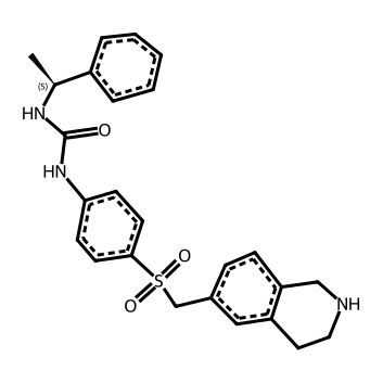 C[C@H](NC(=O)Nc1ccc(S(=O)(=O)Cc2ccc3c(c2)CCNC3)cc1)c1ccccc1